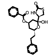 O=C1N[C@H]([C@@]2(O)C[C@H](OC(=O)c3ccccc3)C[C@@H](CCc3ccccc3)O2)CS1